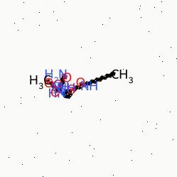 CCCCCCCCCCCCNC(=O)CCCOc1cccc(NC(NC(=O)CCC(N)=O)C(=O)NCCOC)c1